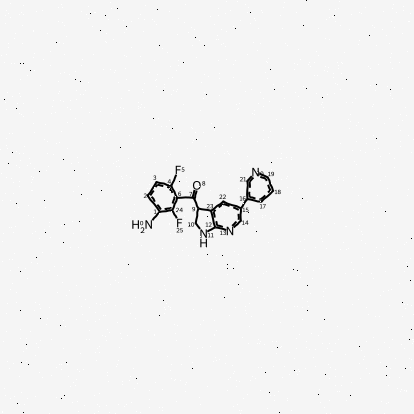 Nc1ccc(F)c(C(=O)C2CNc3ncc(-c4cccnc4)cc32)c1F